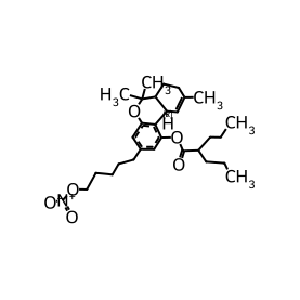 CCCC(CCC)C(=O)Oc1cc(CCCCCO[N+](=O)[O-])cc2c1[C@@H]1C=C(C)CCC1C(C)(C)O2